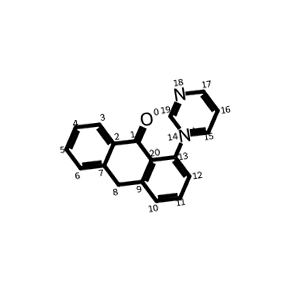 O=C1c2ccccc2Cc2cccc(-[n+]3cccnc3)c21